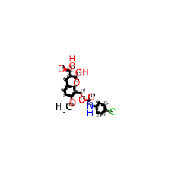 COc1ccc(CC(C(=O)O)C(=O)O)cc1COC(=O)Nc1ccc(Cl)cc1